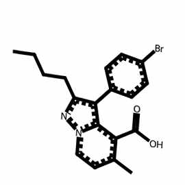 CCCCc1nn2ccc(C)c(C(=O)O)c2c1-c1ccc(Br)cc1